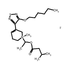 CCCCCCOc1nsnc1C1=CCC[N+](C)(C(C)OC(=O)CC(C)C)C1.[I-]